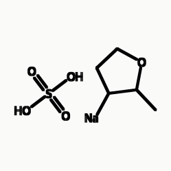 CC1OCC[CH]1[Na].O=S(=O)(O)O